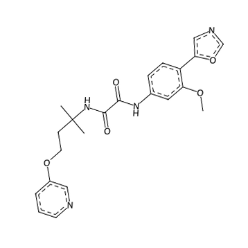 COc1cc(NC(=O)C(=O)NC(C)(C)CCOc2cccnc2)ccc1-c1cnco1